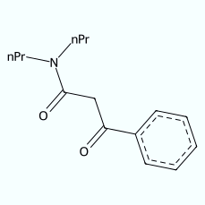 CCCN(CCC)C(=O)CC(=O)c1ccccc1